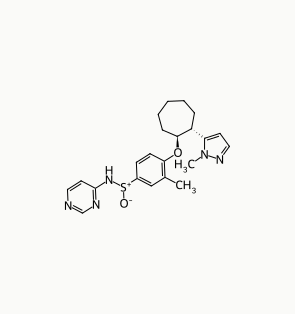 Cc1cc([S+]([O-])Nc2ccncn2)ccc1O[C@H]1CCCCC[C@@H]1c1ccnn1C